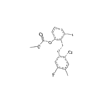 COC(=O)Oc1cccc(I)c1COc1cc(F)c(C)cc1Cl